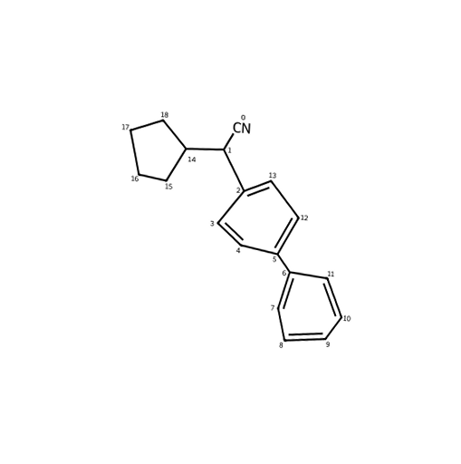 N#CC(c1ccc(-c2ccccc2)cc1)C1CCCC1